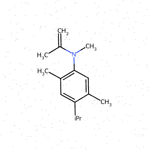 C=C(C)N(C)c1cc(C)c(C(C)C)cc1C